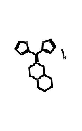 CBr.c1csc(C(=C2CCN3CCCCC3C2)c2cccs2)c1